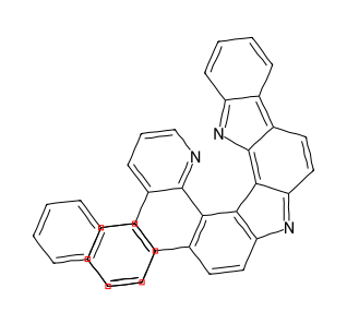 c1ccc(-c2ccc3c(c2-c2ncccc2-c2cccc4ccccc24)-c2c4c(ccc2=N3)=c2ccccc2=N4)cc1